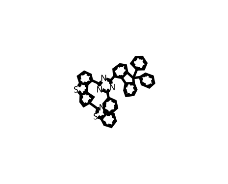 c1ccc(-c2nc(-c3cccc4c3-c3ccccc3C4(c3ccccc3)c3ccccc3)nc(-c3cccc4sc5ccc(-c6nc7ccccc7s6)cc5c34)n2)cc1